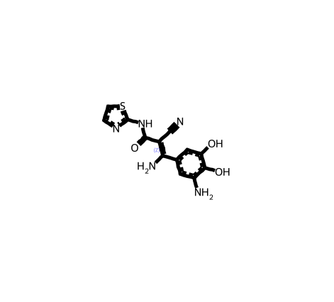 N#C/C(C(=O)Nc1nccs1)=C(/N)c1cc(N)c(O)c(O)c1